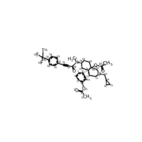 CC(=O)Oc1cccc([C@@]23CCN(CC4CC4)C[C@@]2(OC(C)=O)CC[C@H](N(C)C(=O)C#Cc2ccc(C(F)(F)F)cc2)C3)c1